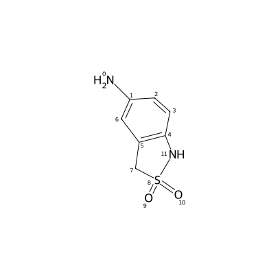 Nc1ccc2c(c1)CS(=O)(=O)N2